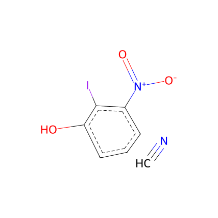 C#N.O=[N+]([O-])c1cccc(O)c1I